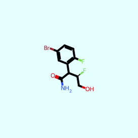 NC(=O)[C](c1cc(Br)ccc1F)[C@@H](F)CO